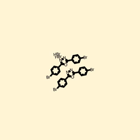 Br.Br.Brc1ccc(-c2nnc(-c3ccc(Br)cc3)o2)cc1.Brc1ccc(-c2nnc(-c3ccc(Br)cc3)o2)cc1